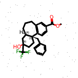 COC(=O)c1ccc2c(c1)CCC[C@@H]1C[C@@](O)(C(F)(F)F)CC[C@@]21Cc1ccccc1